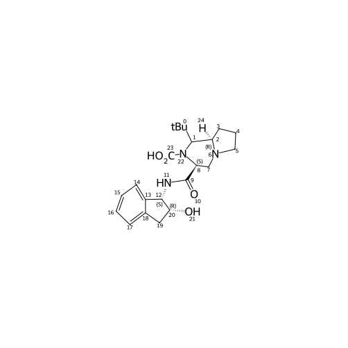 CC(C)(C)C1[C@H]2CCCN2C[C@@H](C(=O)N[C@H]2c3ccccc3C[C@H]2O)N1C(=O)O